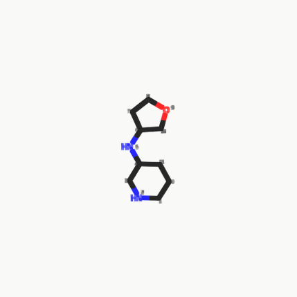 C1CNCC(NC2CCOC2)C1